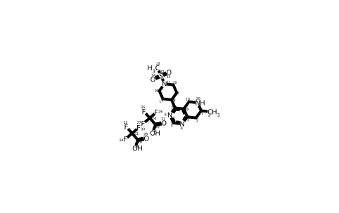 CC1Cc2ncnc(C3CCN(S(C)(=O)=O)CC3)c2CN1.O=C(O)C(F)(F)F.O=C(O)C(F)(F)F